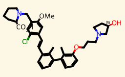 COc1cc(C=Cc2cccc(-c3cccc(OCCCN4CC[C@@H](O)C4)c3C)c2C)c(Cl)cc1CN1CCCCC1C(=O)O